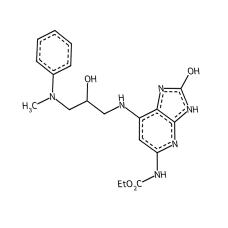 CCOC(=O)Nc1cc(NCC(O)CN(C)c2ccccc2)c2nc(O)[nH]c2n1